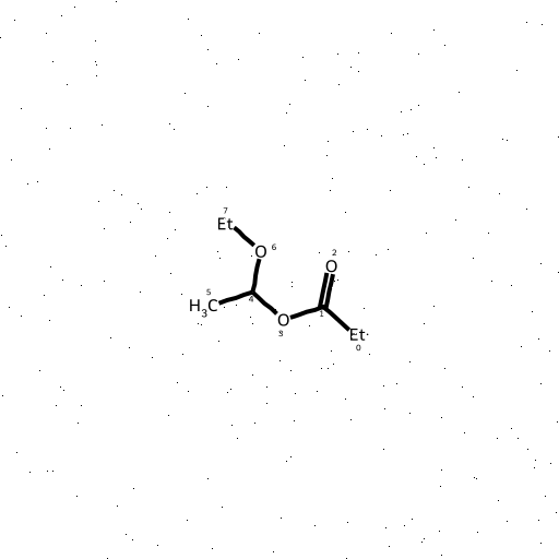 C[CH]C(=O)OC(C)OCC